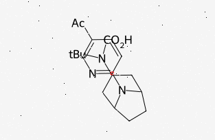 CC(=O)c1ccc(N2C3CCC2CC(N(C(=O)O)C(C)(C)C)C3)nc1